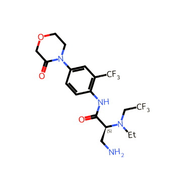 CCN(CC(F)(F)F)[C@@H](CN)C(=O)Nc1ccc(N2CCOCC2=O)cc1C(F)(F)F